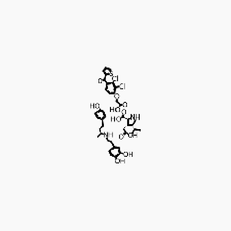 C=C(C)[C@H]1CN[C@H](C(=O)O)[C@H]1CC(=O)O.CC(CCc1ccc(O)cc1)NCCc1ccc(O)c(O)c1.O=C(O)COc1ccc(C(=O)c2cccs2)c(Cl)c1Cl